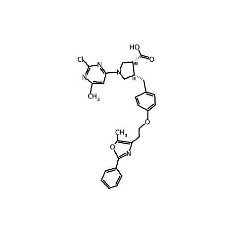 Cc1cc(N2C[C@@H](Cc3ccc(OCCc4nc(-c5ccccc5)oc4C)cc3)[C@@H](C(=O)O)C2)nc(Cl)n1